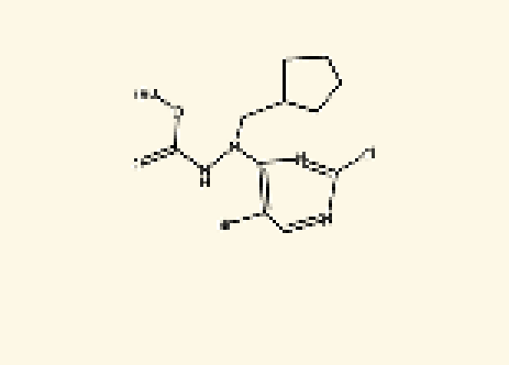 CC(C)(C)OC(=O)NN(CC1CCCC1)c1nc(Cl)ncc1Br